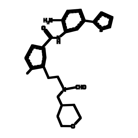 Cc1ccc(C(=O)Nc2cc(-c3cccs3)ccc2N)cc1CCN(C=O)CC1CCOCC1